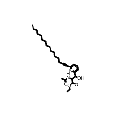 CCCCCCCCCCCCCCC#Cc1cccc(C(O)C(NC(C)=O)C(=O)OCC)n1